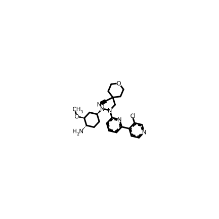 CO[C@H]1C[C@@H](NN(CC2(C#N)CCOCC2)c2cccc(-c3ccncc3Cl)n2)CC[C@@H]1N